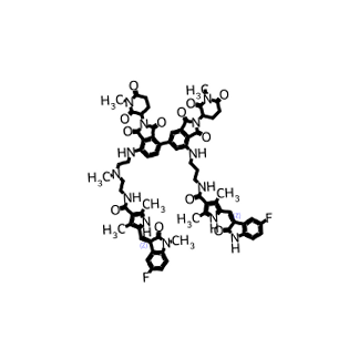 Cc1[nH]c(/C=C2\C(=O)Nc3ccc(F)cc32)c(C)c1C(=O)NCCCNc1cc(-c2ccc(NCCN(C)CCNC(=O)c3c(C)[nH]c(/C=C4\C(=O)N(C)c5ccc(F)cc54)c3C)c3c2C(=O)N(C2CCC(=O)N(C)C2=O)C3=O)cc2c1C(=O)N(C1CCC(=O)N(C)C1=O)C2=O